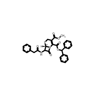 COC(=O)C1=C(C(=O)OC(c2ccccc2)c2ccccc2)N2C(=O)C(NC(=O)Cc3ccccc3)[C@@H]2SC1